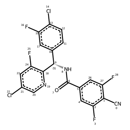 N#Cc1c(F)cc(C(=O)N[C@@H](c2ccc(Cl)c(F)c2)c2ncc(Cl)cc2F)cc1F